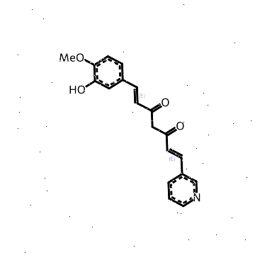 COc1ccc(/C=C/C(=O)CC(=O)/C=C/c2cccnc2)cc1O